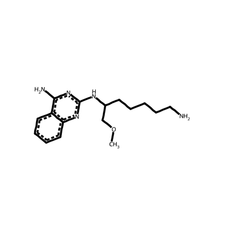 COCC(CCCCCN)Nc1nc(N)c2ccccc2n1